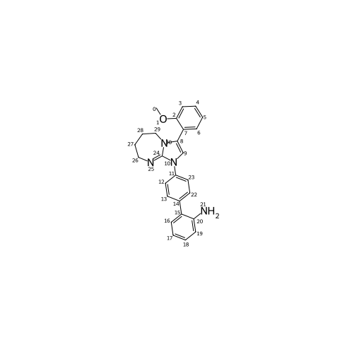 COc1ccccc1C1=CN(c2ccc(-c3ccccc3N)cc2)C2=NCCCCN12